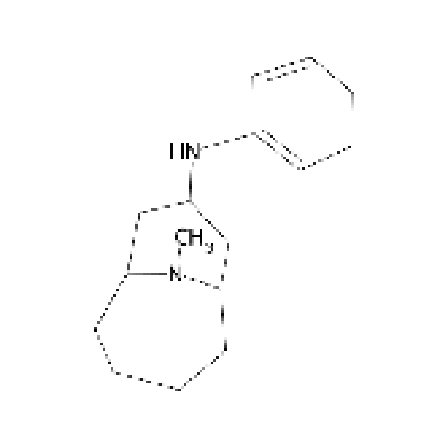 CN1C2CCCCC1CC(Nc1ccccc1)C2